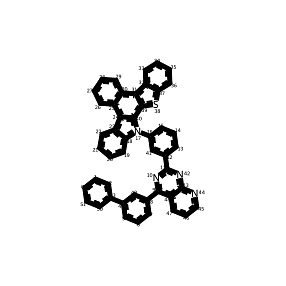 c1ccc(-c2cccc(-c3nc(-c4cccc(-n5c6ccccc6c6c7ccccc7c7c8ccccc8sc7c65)c4)nc4ncccc34)c2)cc1